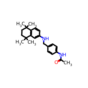 CC(=O)Nc1ccc(CNc2ccc3c(c2)C(C)(C)CCC3(C)C)cc1